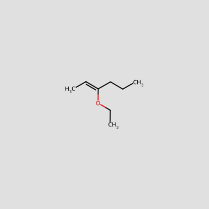 CC=C(CCC)OCC